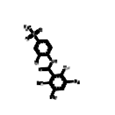 CC(C)(C)c1cc(C(C)(C)C)c(O)c(C(=O)Nc2ccc(S(=O)(=O)C(F)(F)F)cc2Cl)c1O